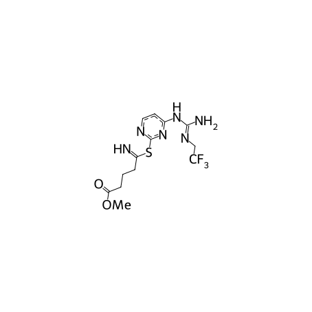 COC(=O)CCCC(=N)Sc1nccc(NC(N)=NCC(F)(F)F)n1